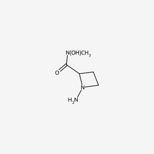 CN(O)C(=O)C1CCN1N